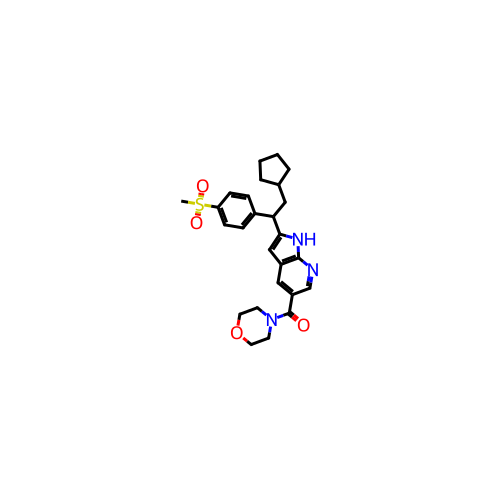 CS(=O)(=O)c1ccc(C(CC2CCCC2)c2cc3cc(C(=O)N4CCOCC4)cnc3[nH]2)cc1